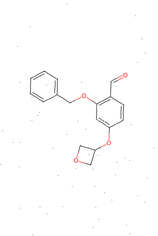 O=Cc1ccc(OC2COC2)cc1OCc1ccccc1